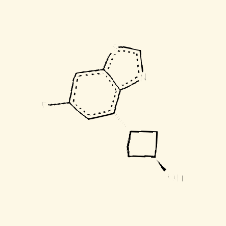 O[C@H]1C[C@H](c2cc(F)cc3scnc32)C1